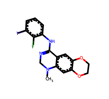 CN1CN=C(Nc2cccc(I)c2F)c2cc3c(cc21)OCCO3